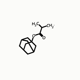 [CH2]C(C)C(=O)OC12CC3CC(CC(C3)C1)C2